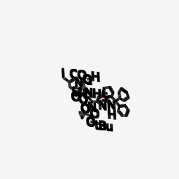 CC(C)(C)OC(=O)C1(O/N=C(\C(=O)NC2C(=O)N3C(C(=O)O)=C(CI)C[S+]([O-])[C@@H]23)c2csc(NC(c3ccccc3)(c3ccccc3)c3ccccc3)n2)CC1